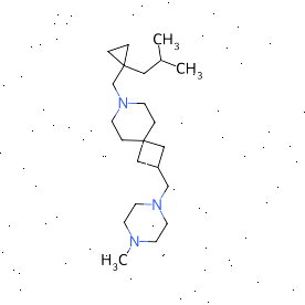 CC(C)CC1(CN2CCC3(CC2)CC(CN2CCN(C)CC2)C3)CC1